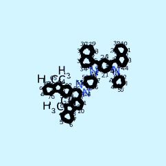 CC1(C)c2ccccc2-c2ccc(-c3nc4ccc(-n5c6cc7c(cc6c6c8ccccc8ccc65)c5c6ccccc6ccc5n7-c5ccccc5)cc4nc3-c3ccc4c(c3)C(C)(C)c3ccccc3-4)cc21